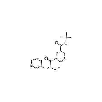 CC(C)(C)OC(=O)c1ccc2c(c1)C(=O)C(Cc1cccnc1)CC2